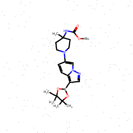 CC1(NC(=O)OC(C)(C)C)CCN(c2ccc3c(B4OC(C)(C)C(C)(C)O4)cnn3c2)CC1